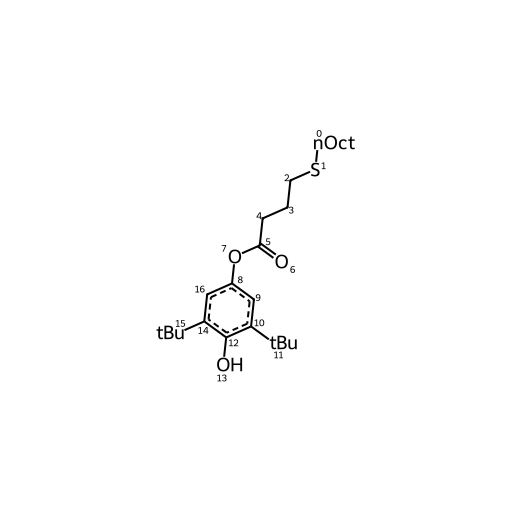 CCCCCCCCSCCCC(=O)Oc1cc(C(C)(C)C)c(O)c(C(C)(C)C)c1